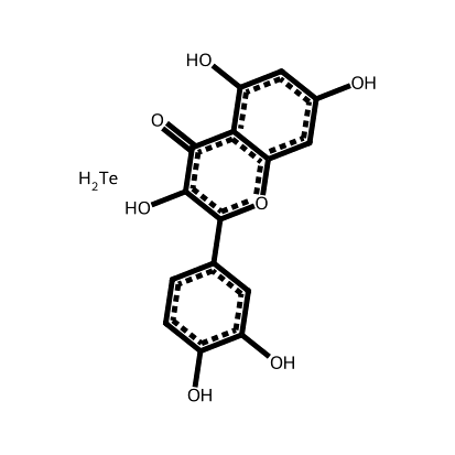 O=c1c(O)c(-c2ccc(O)c(O)c2)oc2cc(O)cc(O)c12.[TeH2]